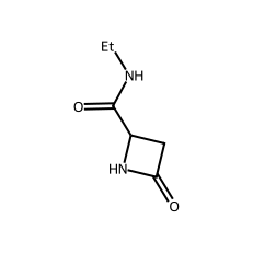 CCNC(=O)C1CC(=O)N1